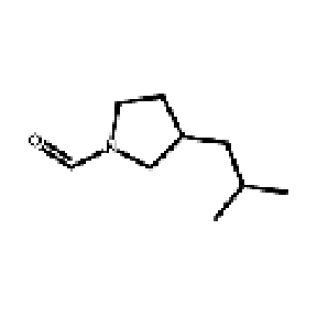 CC(C)CC1CCN(C=O)C1